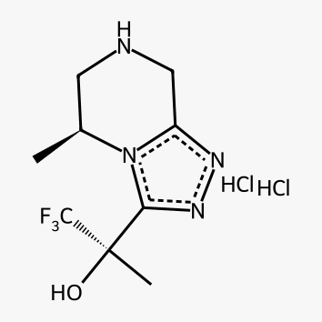 C[C@H]1CNCc2nnc([C@@](C)(O)C(F)(F)F)n21.Cl.Cl